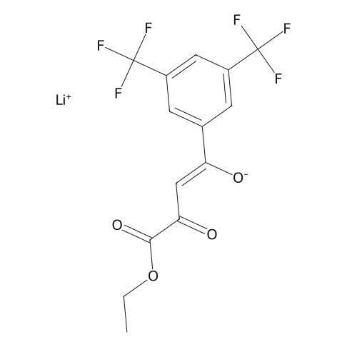 CCOC(=O)C(=O)C=C([O-])c1cc(C(F)(F)F)cc(C(F)(F)F)c1.[Li+]